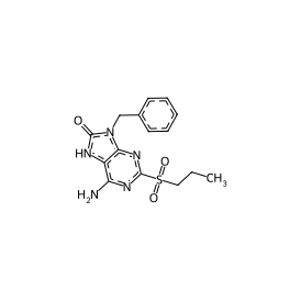 CCCS(=O)(=O)c1nc(N)c2[nH]c(=O)n(Cc3ccccc3)c2n1